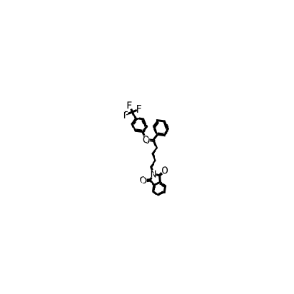 O=C1c2ccccc2C(=O)N1CCCCC(Oc1ccc(C(F)(F)F)cc1)c1ccccc1